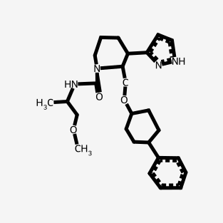 COCC(C)NC(=O)N1CCCC(c2cc[nH]n2)C1COC1CCC(c2ccccc2)CC1